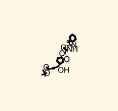 COc1cc(C(O)C#CC(=O)OC(C)(C)C)ccc1OCC(=O)Nc1nc2ccccc2s1